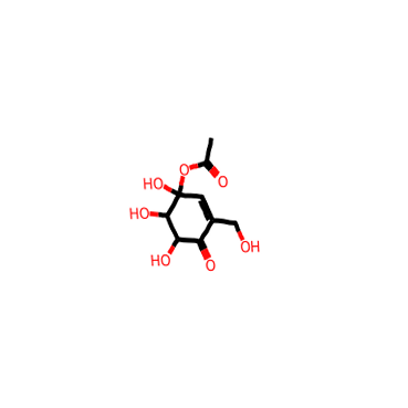 CC(=O)OC1(O)C=C(CO)C(=O)C(O)C1O